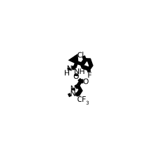 [H]/N=C(\NOC(=O)c1cc(C(F)(F)F)n(C)n1)C1(c2cc(F)ccc2Cl)CC1